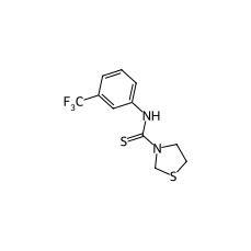 FC(F)(F)c1cccc(NC(=S)N2CCSC2)c1